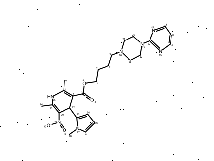 CC1=C(C(=O)OCCCCN2CCN(c3ncccn3)CC2)C(c2cccn2C)C([N+](=O)[O-])=C(C)N1